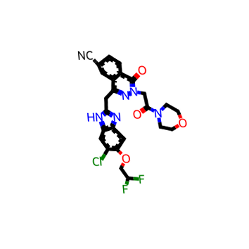 N#Cc1ccc2c(=O)n(CC(=O)N3CCOCC3)nc(Cc3nc4cc(OCC(F)F)c(Cl)cc4[nH]3)c2c1